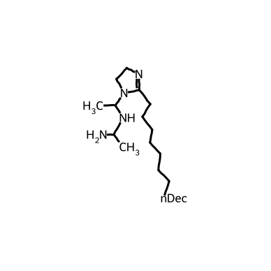 CCCCCCCCCCCCCCCCCC1=NCCN1C(C)NC(C)N